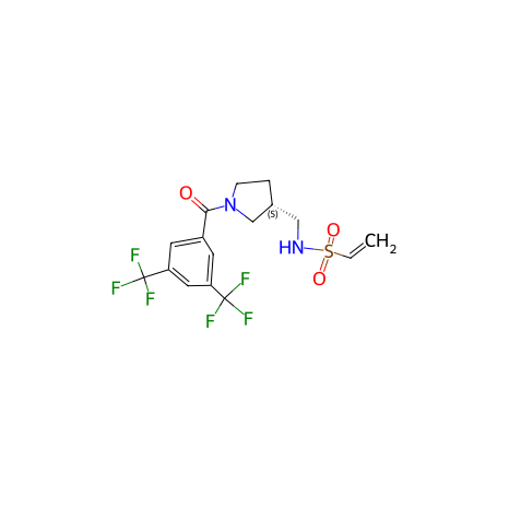 C=CS(=O)(=O)NC[C@H]1CCN(C(=O)c2cc(C(F)(F)F)cc(C(F)(F)F)c2)C1